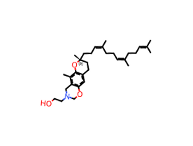 CC(C)=CCCC(C)=CCCC(C)=CCC[C@]1(C)CCc2cc3c(c(C)c2O1)CN(CCO)CO3